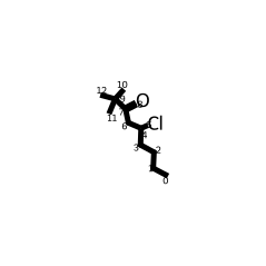 CCCCC(Cl)CC(=O)C(C)(C)C